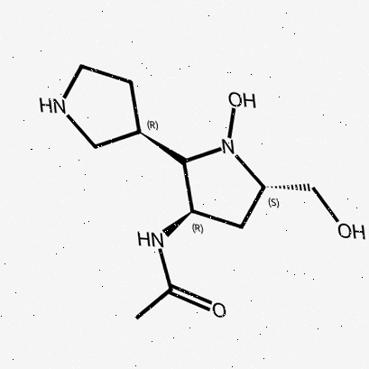 CC(=O)N[C@@H]1C[C@@H](CO)N(O)C1[C@@H]1CCNC1